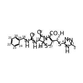 Cc1nnc(SCC2=C(C(=O)O)N3C(=O)C(NC(=O)NCc4ccccc4)[C@H]3SC2)[nH]1